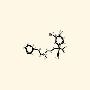 CC(C)C(C#N)(CCCN(C)CCc1ccccc1)c1ccc(Br)c(Br)c1